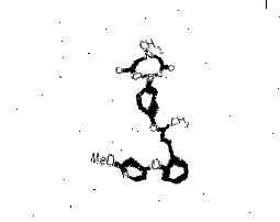 COc1cc(Oc2ccccc2CCC(C)Oc2ccc(B3OC(=O)CN(C)CC(=O)O3)cc2)ccn1